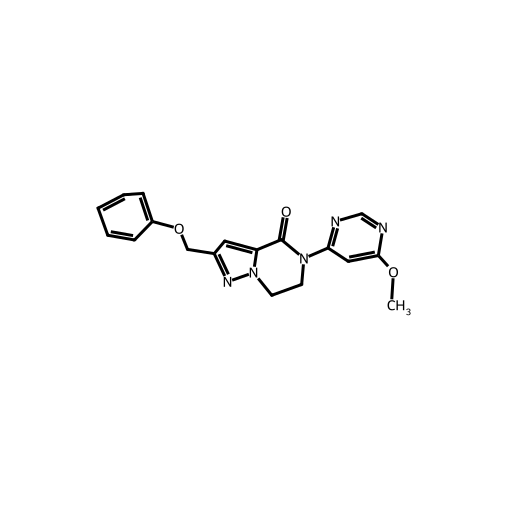 COc1cc(N2CCn3nc(COc4ccccc4)cc3C2=O)ncn1